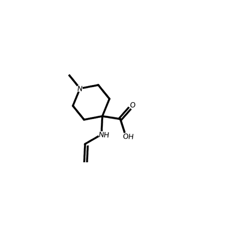 C=CNC1(C(=O)O)CCN(C)CC1